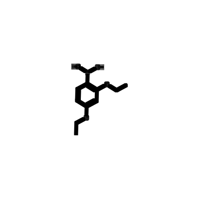 CCOc1ccc(B(O)O)c(OCC)c1